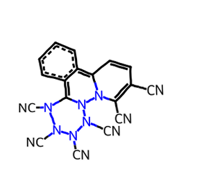 N#CC1=C(C#N)N2C(=c3ccccc3=C3N(C#N)N(C#N)N(C#N)N(C#N)N32)C=C1